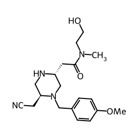 COc1ccc(CN2C[C@@H](CC(=O)N(C)CCO)NC[C@@H]2CC#N)cc1